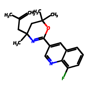 C=C(C)CC1(C)CC(C)(C)OC(c2cnc3c(F)cccc3c2)=N1